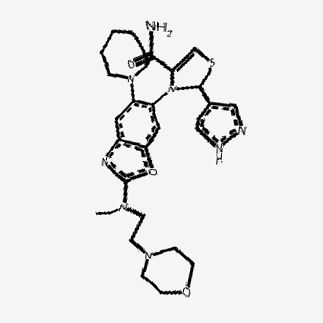 CN(CCN1CCOCC1)c1nc2cc(N3CCCCC3)c(N3C(C(N)=O)=CSC3c3cn[nH]c3)cc2o1